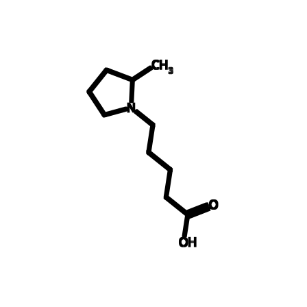 CC1CCCN1CCCCC(=O)O